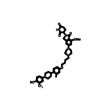 COc1cc(N2CCN(CCCCOc3ccc(C4CCN(c5ccc(C#N)c(C(F)(F)F)c5)CC4)c(C)c3)CC2)cc2c1C(=O)N(C1CCC(=O)NC1=O)C2